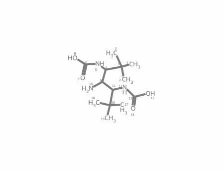 CC(C)(C)C(NC(=O)O)C(N)C(NC(=O)O)C(C)(C)C